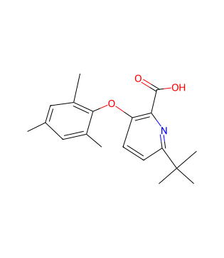 Cc1cc(C)c(Oc2ccc(C(C)(C)C)nc2C(=O)O)c(C)c1